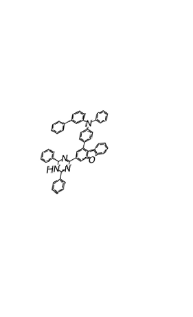 c1ccc(C2=NC(c3cc(-c4ccc(N(c5ccccc5)c5cccc(-c6ccccc6)c5)cc4)c4c(c3)oc3ccccc34)=NC(c3ccccc3)N2)cc1